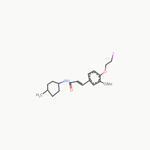 COc1cc(/C=C/C(=O)NC2CCC(C)CC2)ccc1OCCI